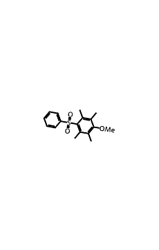 COc1c(C)c(C)c(S(=O)(=O)c2ccccc2)c(C)c1C